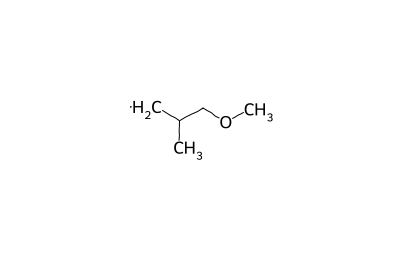 [CH2]C(C)COC